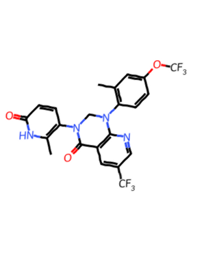 Cc1cc(OC(F)(F)F)ccc1N1CN(c2ccc(=O)[nH]c2C)C(=O)c2cc(C(F)(F)F)cnc21